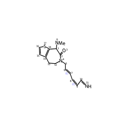 CNC1C(=O)N(C/C=C/C=C\C=N)CCc2ccsc21